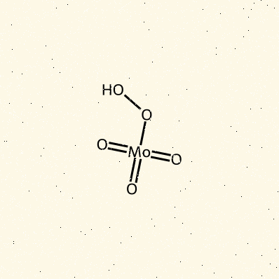 [O]=[Mo](=[O])(=[O])[O]O